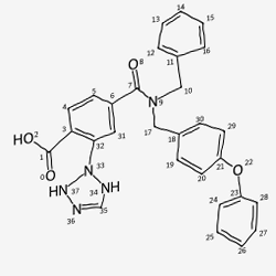 O=C(O)c1ccc(C(=O)N(Cc2ccccc2)Cc2ccc(Oc3ccccc3)cc2)cc1N1NC=NN1